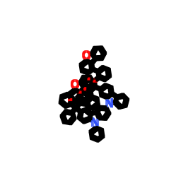 c1ccc(-n2c3ccc(-n4c5ccccc5c5ccc(-c6c(-c7ccccc7-c7cccc8oc9ccccc9c78)cccc6-c6ccccc6-c6cccc7oc8ccccc8c67)cc54)cc3c3cc(C(c4ccccc4)(c4ccccc4)c4ccccc4)ccc32)cc1